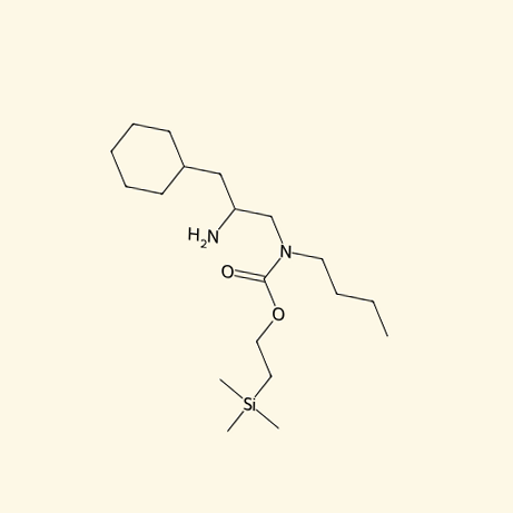 CCCCN(CC(N)CC1CCCCC1)C(=O)OCC[Si](C)(C)C